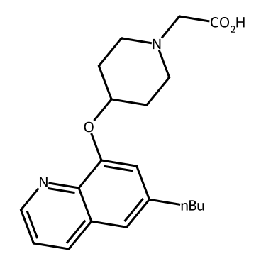 CCCCc1cc(OC2CCN(CC(=O)O)CC2)c2ncccc2c1